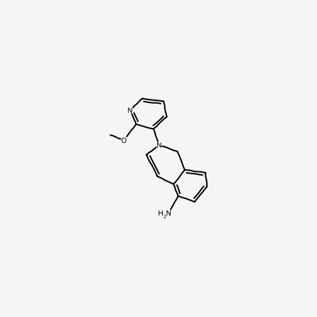 COc1ncccc1N1C=Cc2c(N)cccc2C1